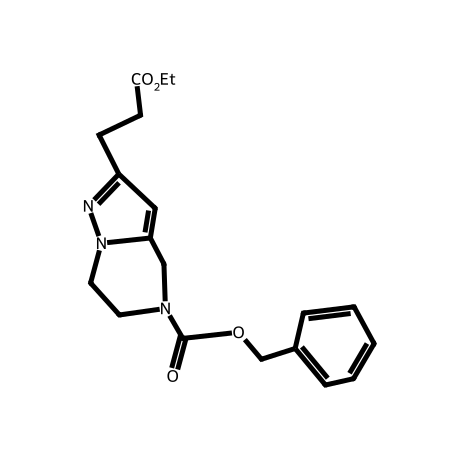 CCOC(=O)CCc1cc2n(n1)CCN(C(=O)OCc1ccccc1)C2